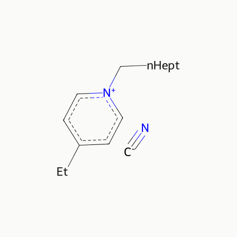 CCCCCCCC[n+]1ccc(CC)cc1.[C-]#N